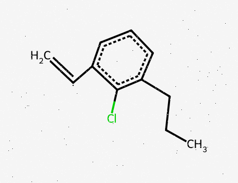 C=[C]c1cccc(CCC)c1Cl